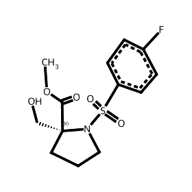 COC(=O)[C@]1(CO)CCCN1S(=O)(=O)c1ccc(F)cc1